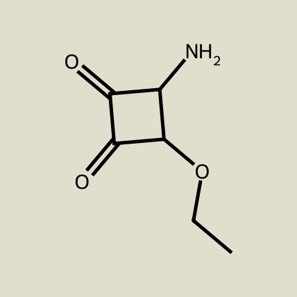 CCOC1C(=O)C(=O)C1N